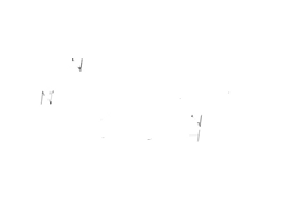 CC(C)NCc1cccc(-c2cncnc2)c1